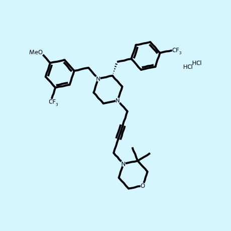 COc1cc(CN2CCN(CC#CCN3CCOCC3(C)C)C[C@H]2Cc2ccc(C(F)(F)F)cc2)cc(C(F)(F)F)c1.Cl.Cl